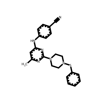 Cc1cc(Nc2ccc(C#N)cc2)nc(N2CCN(Sc3ccccc3)CC2)n1